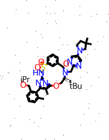 Cc1cccc(COC(C)C)c1-c1nc2nc(c1C)OC[C@@H](CC(C)(C)C)N(Cc1ncc(N3CCC(C)(C)C3)cn1)C(=O)c1cccc(c1)S(=O)(=O)N2